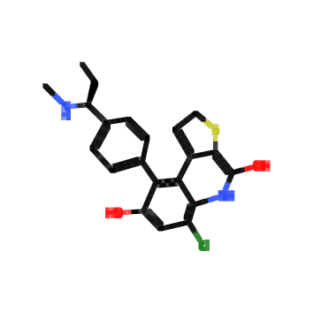 CC[C@H](NC)c1ccc(-c2c(O)cc(Cl)c3c2C2=CCSC2=C(O)N3)cc1